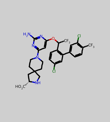 Nc1nc(OC(c2ccc(Cl)cc2-c2ccc(C(F)(F)F)c(Cl)c2)C(F)(F)F)cc(N2CCC3(CC2)CN[C@H](C(=O)O)C3)n1